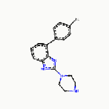 CCc1ccc(-c2cccc3[nH]c(N4CCNCC4)nc23)cc1